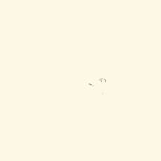 CC=C(OCCCCCCCCCCCC)OP(=O)(O)O